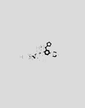 CS(=O)(=O)c1sc(NC(=O)Nc2ccc(N3CCOCC3)cc2C(=O)C2CCCC2)nc1C(=O)O